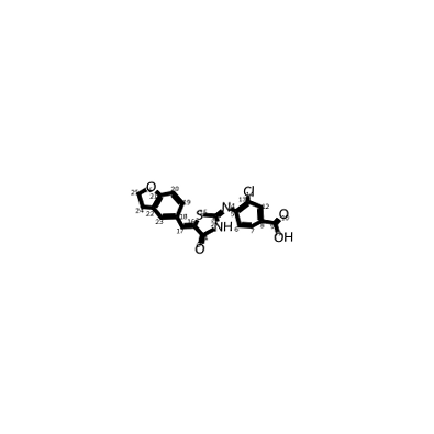 O=C1N/C(=N\c2ccc(C(=O)O)cc2Cl)S/C1=C\c1ccc2c(c1)CCO2